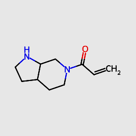 C=CC(=O)N1CCC2CCNC2C1